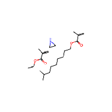 C1CN1.C=C(C)C(=O)OCC.C=C(C)C(=O)OCCCCCCCC(C)C